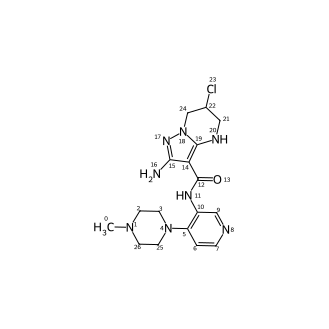 CN1CCN(c2ccncc2NC(=O)c2c(N)nn3c2NCC(Cl)C3)CC1